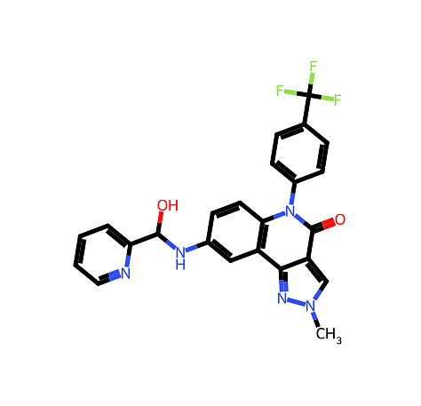 Cn1cc2c(=O)n(-c3ccc(C(F)(F)F)cc3)c3ccc(NC(O)c4ccccn4)cc3c2n1